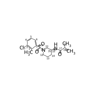 Cc1c(Cl)cccc1S(=O)(=O)N1CCC[C@H](NC(=O)C(C)C)C1